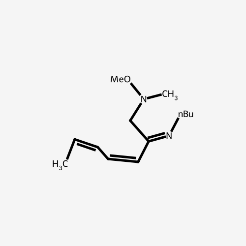 C\C=C/C=C\C(CN(C)OC)=N\CCCC